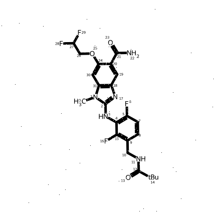 Cn1c(Nc2c(F)ccc(CNC(=O)C(C)(C)C)c2F)nc2cc(C(N)=O)c(OCC(F)F)cc21